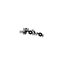 CN(Cc1ccc(F)cc1)c1cnc2cc(-c3ncnc4[nH]ncc34)ccc2n1